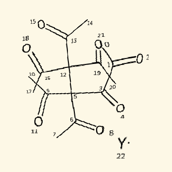 CC(=O)C(=O)C(C(C)=O)(C(C)=O)C(C(C)=O)(C(C)=O)C(C)=O.[Y]